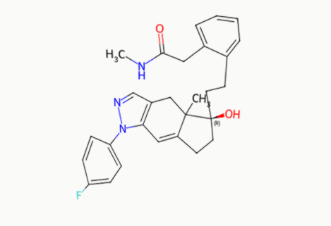 CNC(=O)Cc1ccccc1CC[C@]1(O)CCC2=Cc3c(cnn3-c3ccc(F)cc3)CC21C